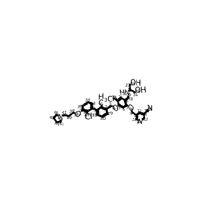 Cc1c(COc2cc(OCc3cncc(C#N)c3)c(CNC(CO)CO)cc2Cl)cccc1-c1cccc(OCCCN2CCCC2)c1Cl